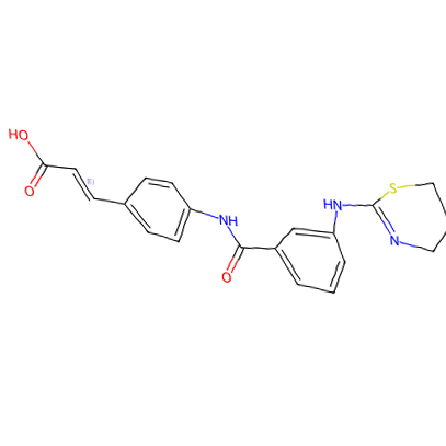 O=C(O)/C=C/c1ccc(NC(=O)c2cccc(NC3=NCCCS3)c2)cc1